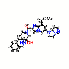 CO[C@H](C)c1cc(N2CCn3nccc32)cn2cc(C(=O)N3CC[C@]4(Cc5ccccc5CN4)[C@H](O)C3)nc12